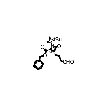 CC(C)(C)[Si](C)(C)N1C(=O)[C@H](CCCC=O)[C@H]1C(=O)OCc1ccccc1